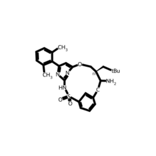 Cc1cccc(C)c1-c1cc2nc(n1)NS(=O)(=O)c1cccc(c1)CC(N)[C@H](CC(C)(C)C)CO2